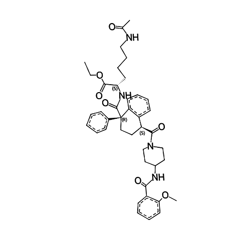 CCOC(=O)[C@H](CCCCNC(C)=O)NC(=O)[C@@]1(c2ccccc2)CC[C@H](C(=O)N2CCC(NC(=O)c3ccccc3OC)CC2)c2ccccc21